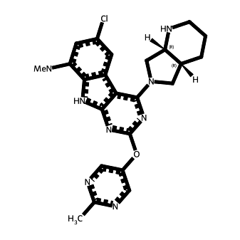 CNc1cc(Cl)cc2c1[nH]c1nc(Oc3cnc(C)nc3)nc(N3C[C@H]4CCCN[C@H]4C3)c12